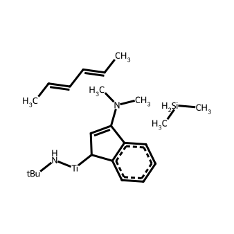 CC=CC=CC.CN(C)C1=C[CH]([Ti][NH]C(C)(C)C)c2ccccc21.C[SiH2]C